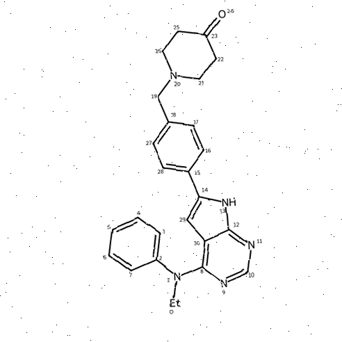 CCN(c1ccccc1)c1ncnc2[nH]c(-c3ccc(CN4CCC(=O)CC4)cc3)cc12